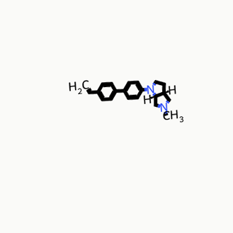 C=Cc1ccc(-c2ccc(N3CC[C@@H]4CN(C)C[C@@H]43)cc2)cc1